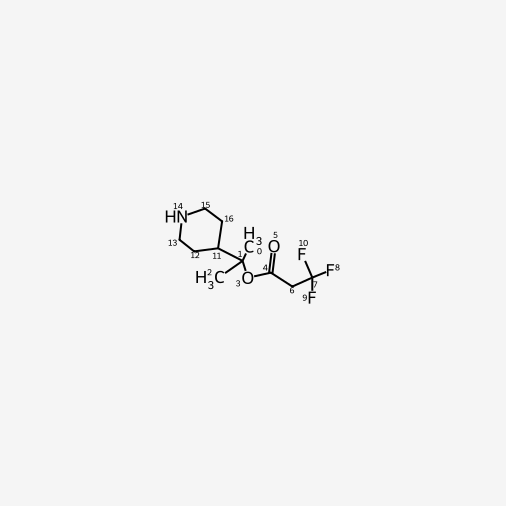 CC(C)(OC(=O)CC(F)(F)F)C1CCNCC1